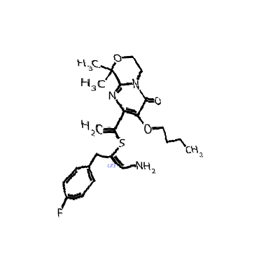 C=C(S/C(=C\N)Cc1ccc(F)cc1)c1nc2n(c(=O)c1OCCCC)CCOC2(C)C